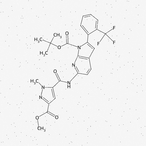 COC(=O)c1cc(C(=O)Nc2ccc3cc(-c4ccccc4C(F)(F)F)n(C(=O)OC(C)(C)C)c3n2)n(C)n1